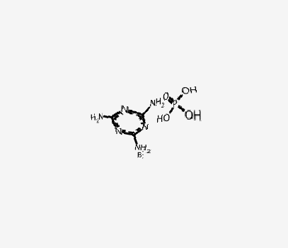 Nc1nc(N)nc(N)n1.O=P(O)(O)O.[B]